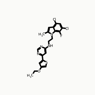 CCOc1csc(-c2cc(NCCn3c(C)cc4c(Cl)cc(Cl)c(F)c43)ncn2)c1